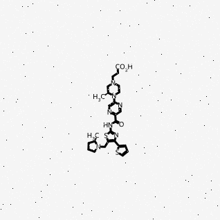 C[C@@H]1CCCN1Cc1sc(NC(=O)c2cnc(N3CCN(CCC(=O)O)C[C@@H]3C)cn2)nc1-c1cccs1